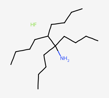 CCCCC(CCCC)C(N)(CCCC)CCCC.F